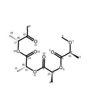 CO[C@@H](C)C(=O)O[C@@H](C)C(=O)O[C@H](C)C(=O)O[C@H](C)C(C)=O